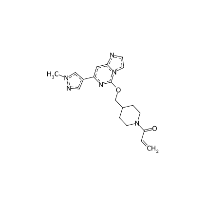 C=CC(=O)N1CCC(COc2nc(-c3cnn(C)c3)cc3nccn23)CC1